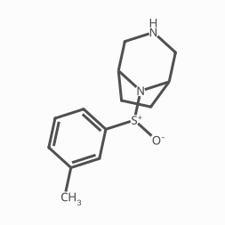 Cc1cccc([S+]([O-])N2C3CCC2CNC3)c1